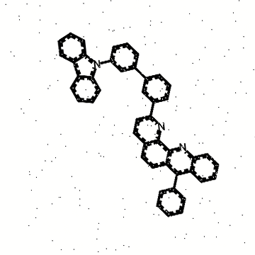 c1ccc(-c2c3ccccc3nc3c2ccc2ccc(-c4cccc(-c5cccc(-n6c7ccccc7c7ccccc76)c5)c4)nc23)cc1